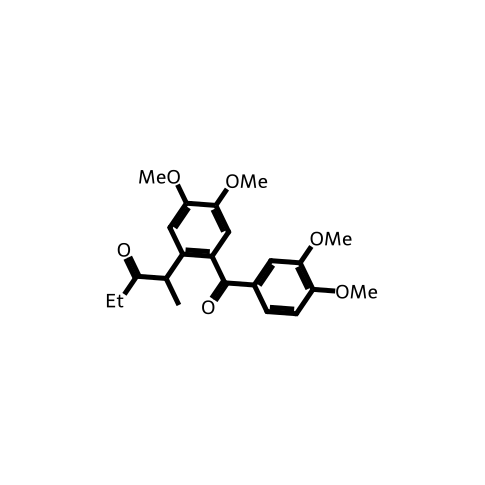 CCC(=O)C(C)c1cc(OC)c(OC)cc1C(=O)c1ccc(OC)c(OC)c1